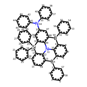 c1ccc(B2c3cccc4c3N3c5c2cccc5[Si](c2ccccc2)(c2ccccc2)c2cc(N(c5ccccc5)c5ccccc5)cc(c23)B4c2ccccc2)cc1